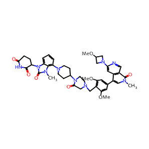 COc1cc(-c2cn(C)c(=O)c3cnc(N4CC(OC)C4)cc23)cc(OC)c1CN1CCN(C2CCN(c3cccc4c3n(C)c(=O)n4C3CCC(=O)NC3=O)CC2)C(=O)C1